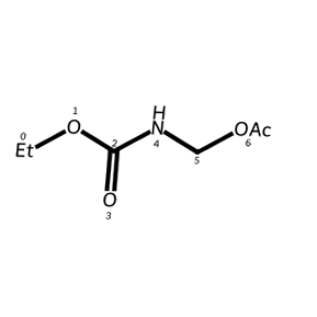 CCOC(=O)NCOC(C)=O